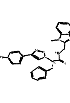 Cn1c(CNC(=O)[C@H](Cc2ccccc2)n2cc(-c3ccc(S)cc3)nn2)nc2ccccc21